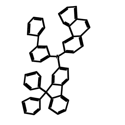 c1ccc(-c2cccc(N(c3ccc4c(c3)C(c3ccccc3)(c3ccccc3)c3ccccc3-4)c3ccc4ccc5ccccc5c4c3)c2)cc1